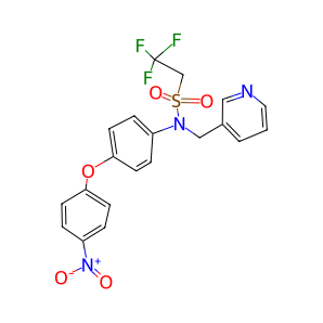 O=[N+]([O-])c1ccc(Oc2ccc(N(Cc3cccnc3)S(=O)(=O)CC(F)(F)F)cc2)cc1